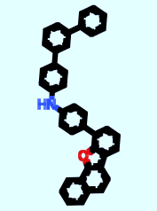 c1ccc(-c2cccc(-c3ccc(Nc4ccc(-c5cccc6c5oc5c7ccccc7ccc65)cc4)cc3)c2)cc1